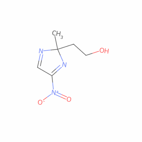 CC1(CCO)N=CC([N+](=O)[O-])=N1